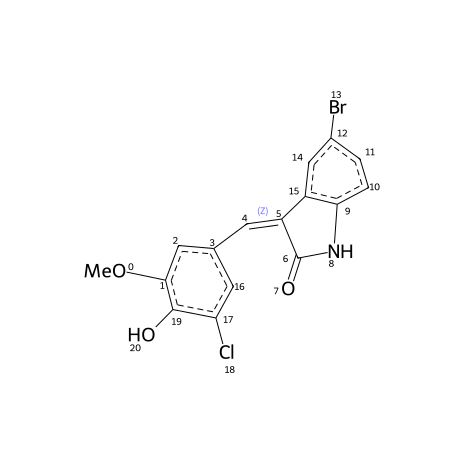 COc1cc(/C=C2\C(=O)Nc3ccc(Br)cc32)cc(Cl)c1O